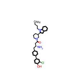 COCCCn1c(C2CCCN(C(=O)C[C@H](N)Cc3ccc(-c4ccc(O)c(Cl)c4)cc3)C2)cc2ccccc21